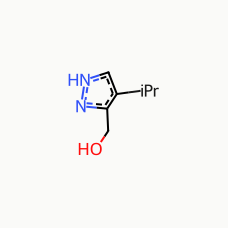 CC(C)c1c[nH]nc1CO